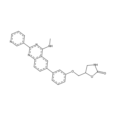 CNc1nc(-c2cccnc2)nc2ccc(-c3cccc(OCC4CNC(=O)O4)c3)cc12